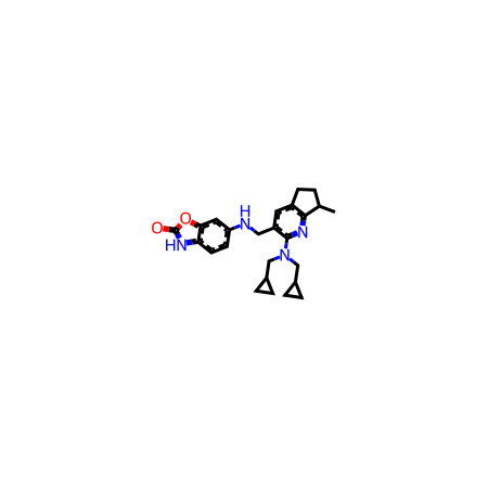 CC1CCc2cc(CNc3ccc4[nH]c(=O)oc4c3)c(N(CC3CC3)CC3CC3)nc21